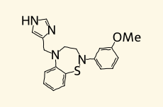 COc1cccc(N2CCN(Cc3c[nH]cn3)c3ccccc3S2)c1